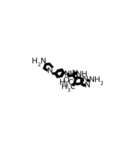 CC1(C)Cc2cnc(N)nc2-c2[nH]nc(C(=O)Nc3ccc(CN4CCC(N)CC4)cc3)c21